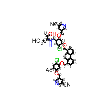 CC(=O)c1cc(Cl)c(OCc2cccc(-c3cccc(COc4cc(OCc5cncc(C#N)c5)c(CN[C@H](C(=O)O)[C@@H](C)O)cc4Cl)c3C)c2C)cc1OCc1cncc(C#N)c1